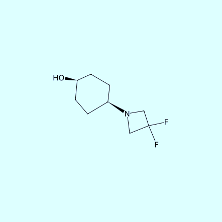 O[C@H]1CC[C@@H](N2CC(F)(F)C2)CC1